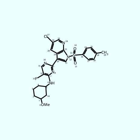 COC1CCCC(Nc2nc(-c3cn(S(=O)(=O)c4ccc(C)cc4)c4ncc(Cl)cc34)ncc2F)C1